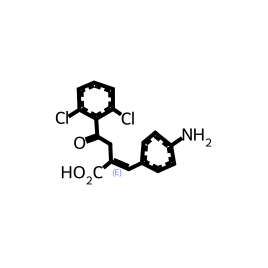 Nc1ccc(/C=C(\CC(=O)c2c(Cl)cccc2Cl)C(=O)O)cc1